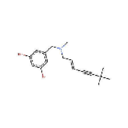 CN(CC=CC#CC(C)(C)C)Cc1cc(Br)cc(Br)c1